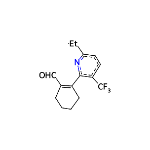 C[CH]c1ccc(C(F)(F)F)c(C2=C(C=O)CCCC2)n1